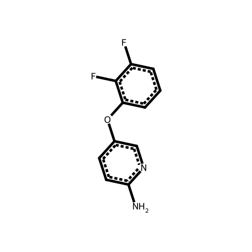 Nc1ccc(Oc2cccc(F)c2F)cn1